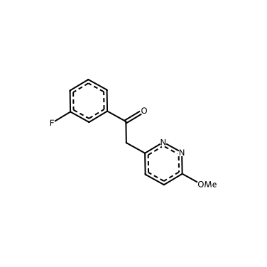 COc1ccc(CC(=O)c2cccc(F)c2)nn1